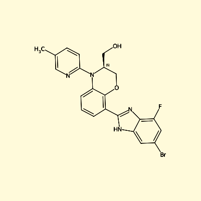 Cc1ccc(N2c3cccc(-c4nc5c(F)cc(Br)cc5[nH]4)c3OC[C@@H]2CO)nc1